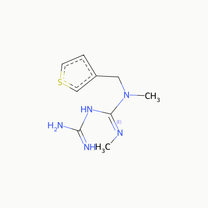 C/N=C(\NC(=N)N)N(C)Cc1ccsc1